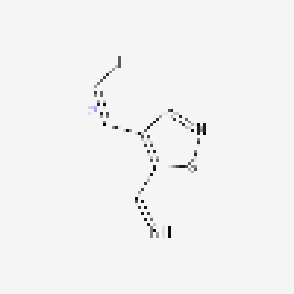 N=Cc1sncc1/C=C\I